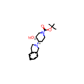 CC(C)(C)OC(=O)N1CC[C@@H](N2CCc3ccccc3C2)[C@H](O)C1